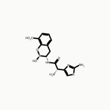 Nc1nc([C@H](N)C(=O)N[C@H]2Cc3cccc(C(=O)O)c3OB2O)cs1